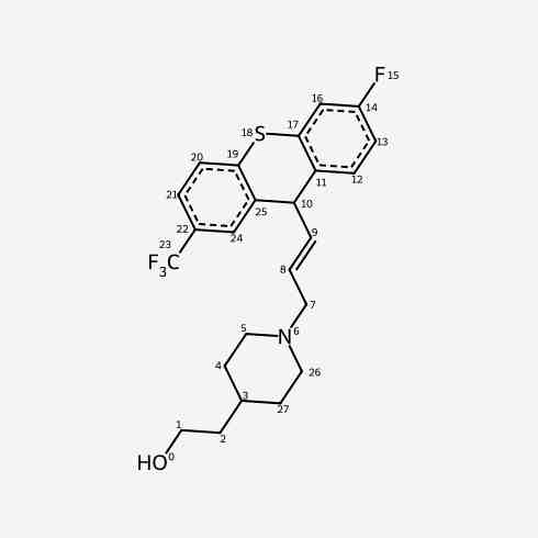 OCCC1CCN(CC=CC2c3ccc(F)cc3Sc3ccc(C(F)(F)F)cc32)CC1